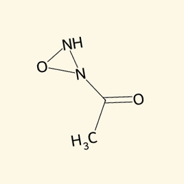 CC(=O)n1[nH]o1